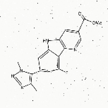 COC(=O)c1cnc2c(c1)[nH]c1cc(-c3c(C)nnn3C)cc(F)c12